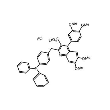 CCOC(=O)c1c(Cc2ccc(P(c3ccccc3)c3ccccc3)cc2)nc2cc(OC)c(OC)cc2c1-c1ccc(OC)c(OC)c1.Cl